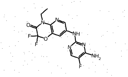 CCN1C(=O)C(F)(F)Oc2cc(Nc3ncc(F)c(N)n3)cnc21